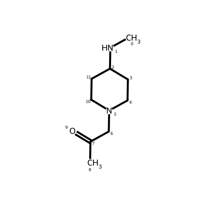 CNC1CCN(CC(C)=O)CC1